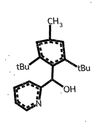 Cc1cc(C(C)(C)C)c(C(O)c2ccccn2)c(C(C)(C)C)c1